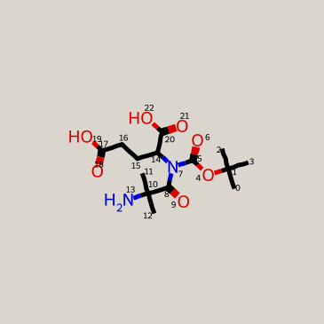 CC(C)(C)OC(=O)N(C(=O)C(C)(C)N)C(CCC(=O)O)C(=O)O